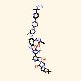 C=CC(=O)Nc1cc(Nc2nc(-c3ccnc(N4CCn5c(cc6c5CC(C)(C)C6)C4=O)c3CO)cn(C)c2=O)ccc1N1CCN(C2CCN(c3ccc(C(C)(C)N)nc3)CC2)C[C@@H]1C